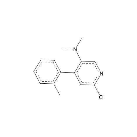 Cc1ccccc1-c1cc(Cl)ncc1N(C)C